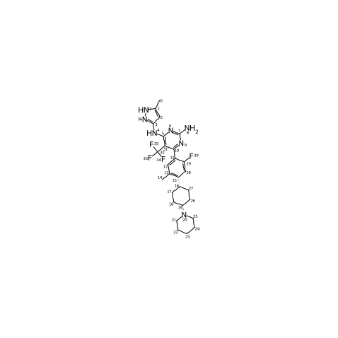 Cc1cc(Nc2nc(N)nc(-c3cc(C)c([C@H]4CC[C@@H](N5CCCCC5)CC4)cc3F)c2C(F)(F)F)n[nH]1